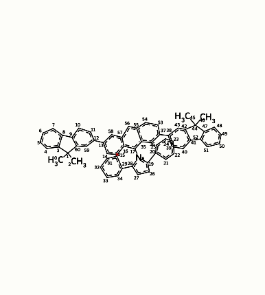 CC1(C)c2ccccc2-c2ccc(-c3ccc4c(-n5c(-c6ccccc6)ccc5-c5ccccc5)c5cc(-c6ccc7c(c6)C(C)(C)c6ccccc6-7)ccc5cc4c3)cc21